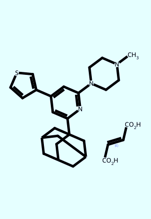 CN1CCN(c2cc(-c3ccsc3)cc(C34CC5CC(CC(C5)C3)C4)n2)CC1.O=C(O)/C=C/C(=O)O